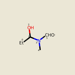 CCC(O)N(C)[C]=O